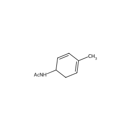 CC(=O)NC1C=CC(C)=CC1